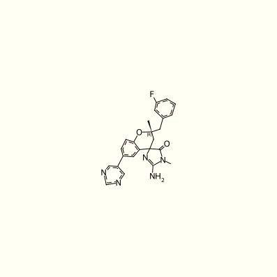 CN1C(=O)C2(C[C@@](C)(Cc3cccc(F)c3)Oc3ccc(-c4cncnc4)cc32)N=C1N